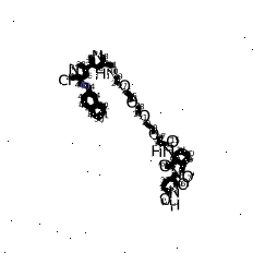 O=C1CCC(N2C(=O)c3cccc(NC(=O)CCOCCOCCOCCOCCNCc4cncc(-c5cnc(Cl)c(/C=C/c6ccc7ccccc7c6)c5)c4)c3C2=O)C(=O)N1